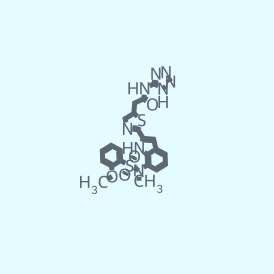 COc1ccccc1S(=O)(=O)N(C)c1cccc2cc(C3=NCC(CC(=O)Nc4nnn[nH]4)S3)[nH]c12